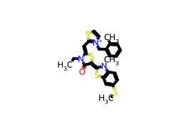 CCn1c(=O)/c(=C2\Sc3cc(SC)ccc3N2C)s/c1=C\c1scc[n+]1Cc1ccccc1C